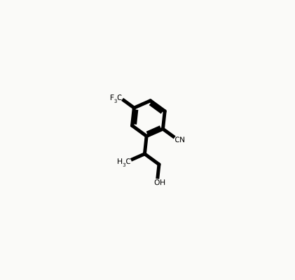 C[C](CO)c1cc(C(F)(F)F)ccc1C#N